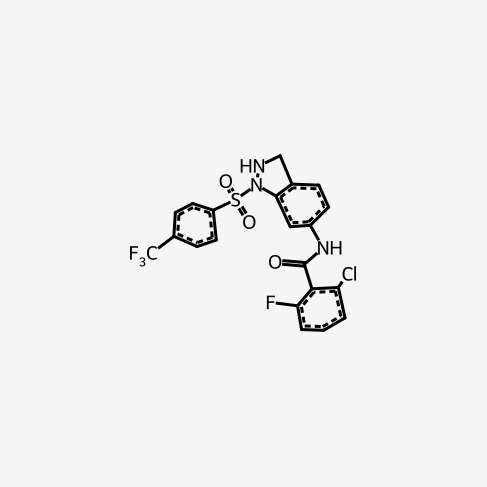 O=C(Nc1ccc2c(c1)N(S(=O)(=O)c1ccc(C(F)(F)F)cc1)NC2)c1c(F)cccc1Cl